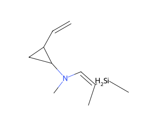 C=CC1CC1N(C)/C=C(\C)[SiH2]C